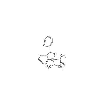 CC(C)[Si]1(C(C)C)OC(c2ccccc2)c2ccccc21